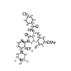 COc1cc(F)c([C@@H]2CN(c3nccc(N4C[C@@H](C)N(C)[C@@H](C)C4)c3C(F)(F)F)C(=O)C2CNC(=O)c2ccc(Cl)cc2)c(F)c1